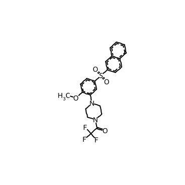 COc1ccc(S(=O)(=O)c2ccc3ccccc3c2)cc1N1CCN(C(=O)C(F)(F)F)CC1